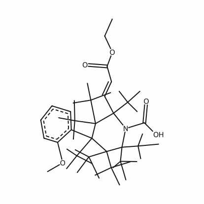 CCOC(=O)C=CC1(C(C)(C)C)N(C(=O)O)C(C(C)(C)C)(C(C)(C)C)C(C(C)(C)C)(C(C)(C)C)C(c2ccccc2OC)(C(C)(C)C)C1(C(C)(C)C)C(C)(C)C